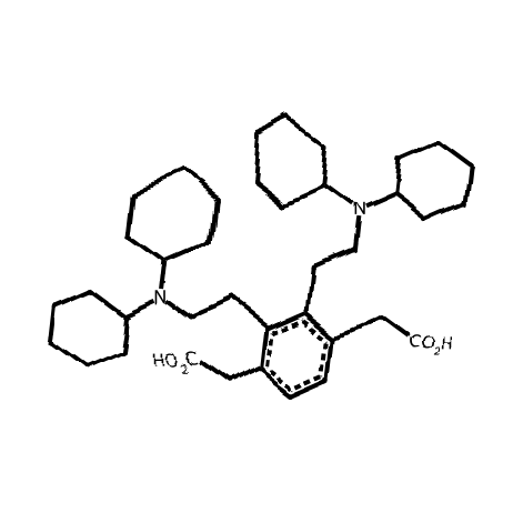 O=C(O)Cc1ccc(CC(=O)O)c(CCN(C2CCCCC2)C2CCCCC2)c1CCN(C1CCCCC1)C1CCCCC1